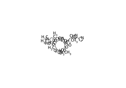 CC[C@H]1OC(=O)[C@@](C)(F)C(=O)[C@H](C)[C@@H](OC2O[C@H](C)C[C@H](N(C)C)[C@H]2O)[C@@](C)(OC)C[C@@H](C)C(=O)[C@H](C)[C@H]2N(CCCC(C)(C)n3cnc(-c4cccnc4)c3)C(=O)O[C@]12CC